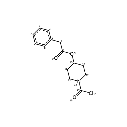 O=C(Cc1ccccc1)OC1CCN(C(=O)Cl)CC1